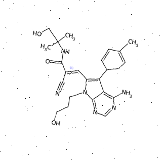 CC1=CCC(c2c(/C=C(\C#N)C(=O)NC(C)(C)CO)n(CCCO)c3ncnc(N)c23)C=C1